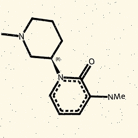 CNc1cccn([C@@H]2CCCN(C)C2)c1=O